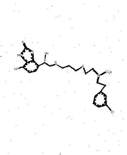 O=C(O)N(CCSCCCNC[C@H](O)c1ccc(O)c2[nH]c(=O)sc12)CCc1cccc(Cl)c1